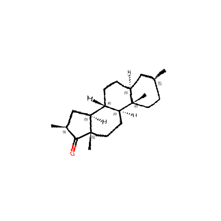 C[C@H]1CC[C@@]2(C)[C@@H](CC[C@@H]3[C@@H]2CC[C@]2(C)C(=O)[C@@H](C)C[C@@H]32)C1